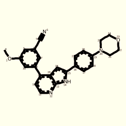 COc1cc(C#N)cc(-c2ccnc3[nH]c(-c4ccc(N5CCOCC5)cc4)cc23)c1